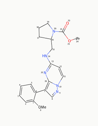 COc1ccccc1-c1cnn2ccc(NCC3CCCN3C(=O)OC(C)C)nc12